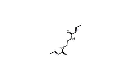 C=C(/C=C/C)NCCNC(=O)/C=C/C